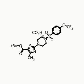 Cc1nc(N2CCN(S(=O)(=O)c3ccc(OC(F)(F)F)cc3)[C@@H](C(=O)O)C2)sc1C(=O)OC(C)(C)C